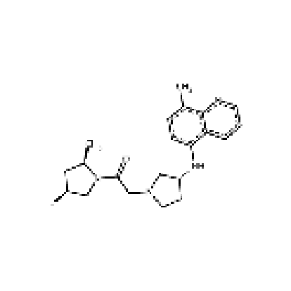 Cc1ccc(N[C@@H]2CCN(CC(=O)N3C[C@@H](F)C[C@H]3C)C2)c2cccnc12